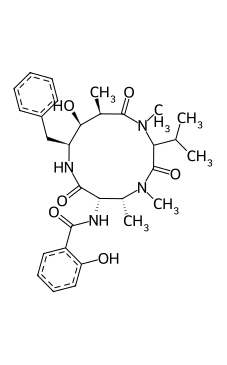 CC(C)C1C(=O)N(C)[C@H](C)[C@H](NC(=O)c2ccccc2O)C(=O)N[C@@H](Cc2ccccc2)[C@@H](O)[C@@H](C)C(=O)N1C